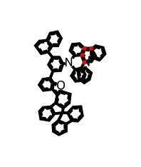 c1ccc(-c2ccccc2N(c2cc(-c3cccc4ccccc34)cc(-c3cccc4c3oc3ccc5c(c34)-c3ccccc3C53c4ccccc4-c4ccccc43)c2)c2cccc3c4ccccc4n(-c4ccccc4)c23)cc1